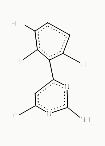 Cc1ccc(Cl)c(-c2cc(Cl)nc(N)n2)c1F